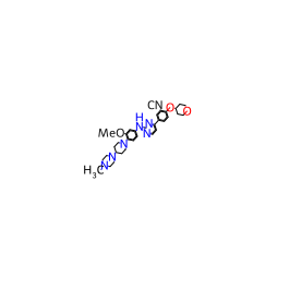 COc1cc(Nc2nccc(-c3ccc(OC4CCOCC4)c(C#N)c3)n2)ccc1N1CCC(N2CCN(C)CC2)CC1